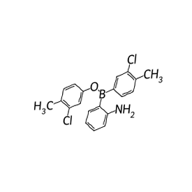 Cc1ccc(OB(c2ccc(C)c(Cl)c2)c2ccccc2N)cc1Cl